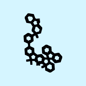 CC1(c2cccc(-c3ccc4c(c3)-c3cc5c(nc3C4(C)C)C3(C)C=CC=CC3C53c4ccccc4-c4ccccc43)c2)C=C2C(=CC1)SC1C=CC=CC21